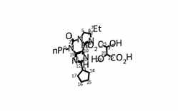 CCCN1C(=O)N2C[C@H](CC)N=C2c2[nH]c(C3CCCC3)nc21.O=C(O)C(O)C(O)C(=O)O